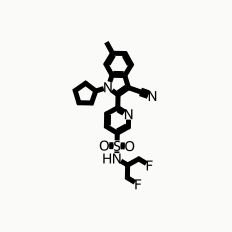 Cc1ccc2c(C#N)c(-c3ccc(S(=O)(=O)NC(CF)CF)cn3)n(C3CCCC3)c2c1